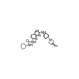 CC(=O)N1CCN(c2ccc(Nc3ncc4ccc(NC(=O)NC5CCCCC5)nc4n3)cc2)CC1